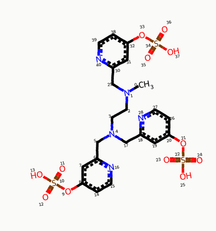 CN(CCN(Cc1cc(OS(=O)(=O)O)ccn1)Cc1cc(OS(=O)(=O)O)ccn1)Cc1cc(OS(=O)(=O)O)ccn1